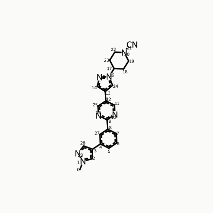 Cn1cc(-c2cccc(-c3ncc(-c4cnn(C5CCN(C#N)CC5)c4)cn3)c2)cn1